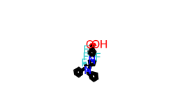 O=C(O)c1cc(F)c(N2CC[C@](CF)(CN(Cc3ccccc3)Cc3ccccc3)C2)c(F)c1F